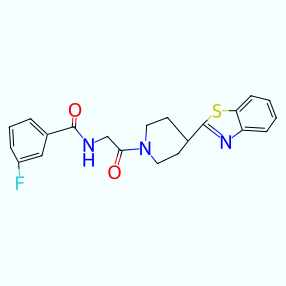 O=C(NCC(=O)N1CCC(c2nc3ccccc3s2)CC1)c1cccc(F)c1